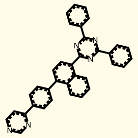 c1ccc(-c2nc(-c3ccccc3)nc(-c3ccc(-c4ccc(-c5ccncn5)cc4)c4ccccc34)n2)cc1